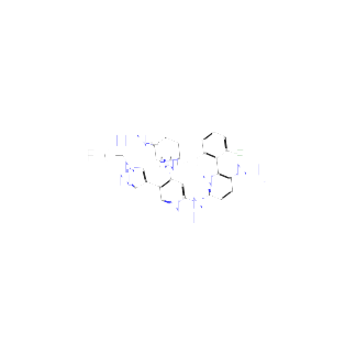 COc1cccc(F)c1-c1nc(Nc2cc(N3CCC[C@H](N)C3)c(-c3cnn(CC(F)(F)F)c3)cn2)ccc1N